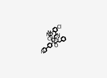 O=C(Nc1ccc(-c2ccncc2)cc1)C(Cc1ccccc1)n1cnc(-c2cc(Cl)ccc2-n2cc(Cl)nn2)cc1=O